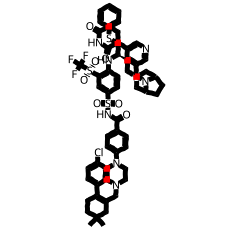 CC1(C)CCC(c2ccc(Cl)cc2)=C(CN2CCN(c3ccc(C(=O)NS(=O)(=O)c4ccc(N[C@H](CCN5CC6CCC(C5)N6Cc5cncc(C6CCC(=O)NC6=O)c5)CSc5ccccc5)c(S(=O)(=O)C(F)(F)F)c4)cc3)CC2)C1